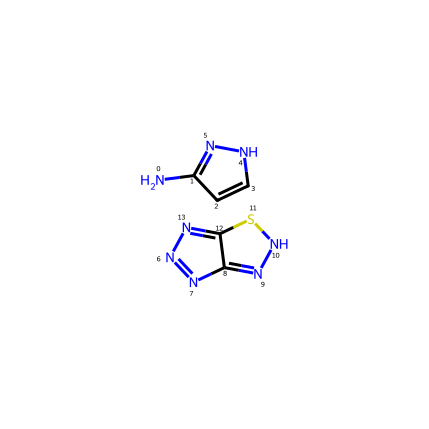 Nc1cc[nH]n1.n1nc2n[nH]sc-2n1